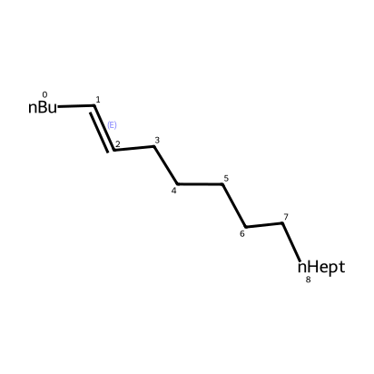 [CH2]CCC/C=C/CCCCCCCCCCCC